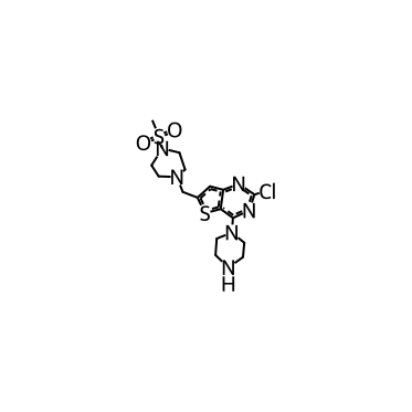 CS(=O)(=O)N1CCN(Cc2cc3nc(Cl)nc(N4CCNCC4)c3s2)CC1